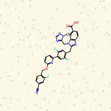 Cn1ncnc1Cn1c(Cc2cc(F)c(-c3cccc(OCc4ccc(C#N)cc4F)n3)cc2F)nc2ccc(C(=O)O)cc21